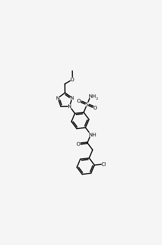 COCc1ncn(-c2ccc(NC(=O)Cc3ccccc3Cl)cc2S(N)(=O)=O)n1